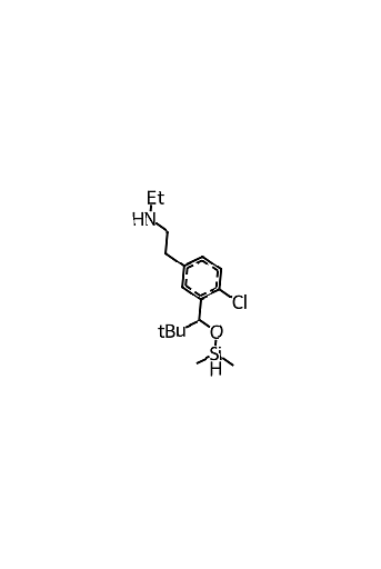 CCNCCc1ccc(Cl)c(C(O[SiH](C)C)C(C)(C)C)c1